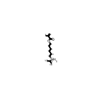 C=C(C)C(=O)OCCCCCC[SiH2]C(I)I